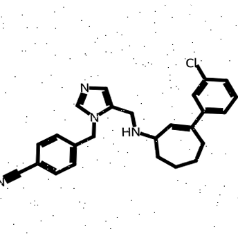 N#Cc1ccc(Cn2cncc2CNC2C=C(c3cccc(Cl)c3)CCCC2)cc1